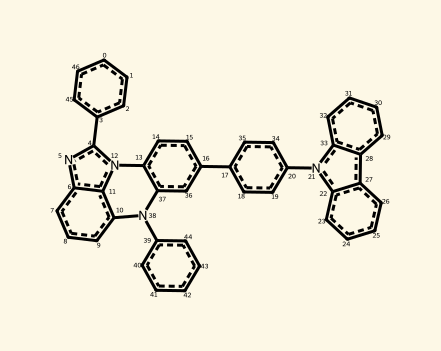 c1ccc(-c2nc3cccc4c3n2-c2ccc(-c3ccc(-n5c6ccccc6c6ccccc65)cc3)cc2N4c2ccccc2)cc1